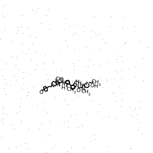 CCc1c(NC(=O)c2nc3c(n2C)CCN(CCC24CCC(C=O)(CC2)C4)C3)cccc1-c1cccc(NC(=O)c2nc3c(n2C)CCN(C[C@@H](C)O)C3)c1CC